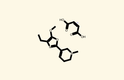 CCc1nc(C2=CCCN(C)C2)oc1OC.O=C(O)/C=C\C(=O)O